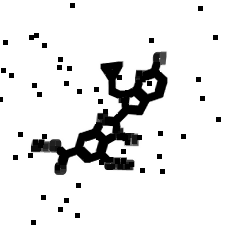 CCn1c(-c2cc3ccc(Cl)nc3n2CC2CC2)nc2cc(C(=O)OC)cc(OC)c21